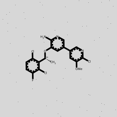 COc1cc(-c2cnc(N)c(O[C@H](C)c3c(Cl)ccc(F)c3Cl)c2)cnc1Cl